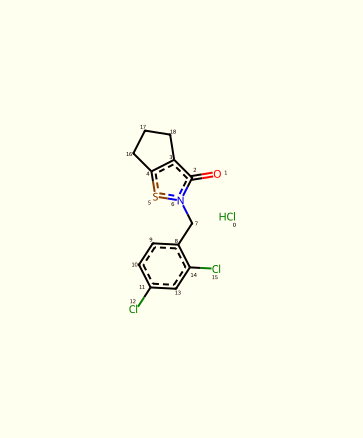 Cl.O=c1c2c(sn1Cc1ccc(Cl)cc1Cl)CCC2